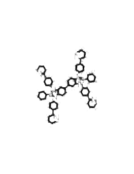 c1ccc(B2N(c3ccc(-c4ccccn4)cc3)c3ccc(-c4ccc5c(c4)N(c4ccc(-c6ccccn6)cc4)B(c4ccccc4)N5c4ccc(-c5ccccn5)cc4)cc3N2c2ccc(-c3ccccn3)cc2)cc1